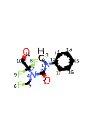 CN(C(=O)N(CF)C(F)(F)[C]=O)c1ccccc1